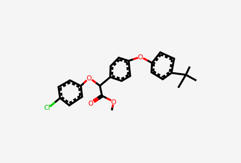 COC(=O)C(Oc1ccc(Cl)cc1)c1ccc(Oc2ccc(C(C)(C)C)cc2)cc1